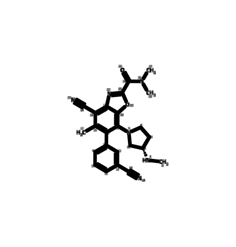 CN[C@H]1CCN(c2c(-c3cccc(C#N)c3)c(C)c(C#N)c3nc(C(=O)N(C)C)oc23)C1